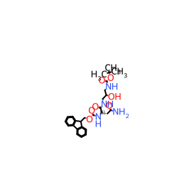 CC(C)(C)OC(=O)NCC(O)CNC(=O)[C@H](CC(N)=O)NC(=O)OCC1c2ccccc2-c2ccccc21